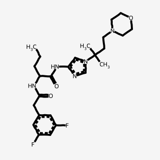 CCCC(NC(=O)Cc1cc(F)cc(F)c1)C(=O)Nc1cn(C(C)(C)CCN2CCOCC2)cn1